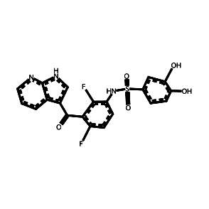 O=C(c1c(F)ccc(NS(=O)(=O)c2ccc(O)c(O)c2)c1F)c1c[nH]c2ncccc12